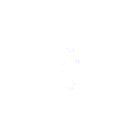 CC(C)(C)c1ccccc1Oc1ncccc1NC(=O)Nc1ccc2c(c1)CCC2=O